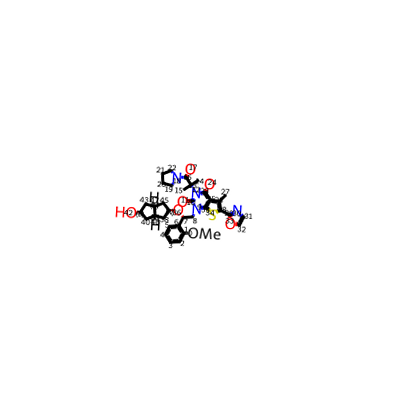 COc1ccccc1C(Cn1c(=O)n(C(C)(C)C(=O)N2CCCC2)c(=O)c2c(C)c(-c3ncco3)sc21)O[C@H]1C[C@H]2C[C@@H](O)C[C@H]2C1